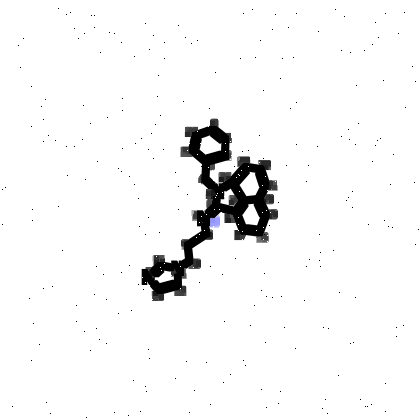 c1ccc(CN2/C(=N/CCCn3ccnc3)c3cccc4cccc2c34)cc1